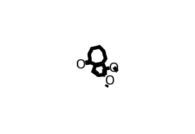 COc1ccc2c(c1OC)CCCCCC2=O